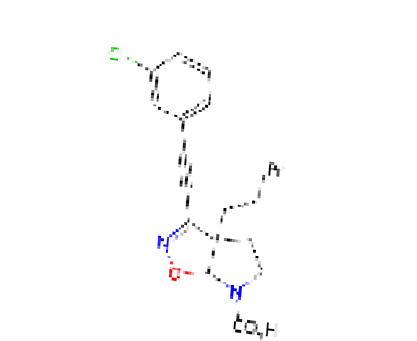 CC(C)CCC12CCN(C(=O)O)C1ON=C2C#Cc1cccc(Cl)c1